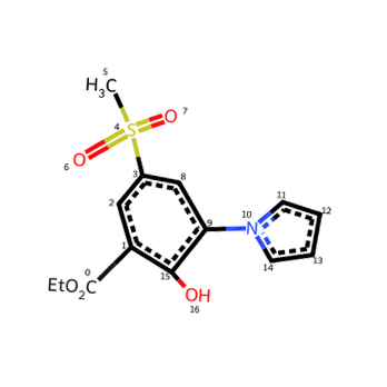 CCOC(=O)c1cc(S(C)(=O)=O)cc(-n2cccc2)c1O